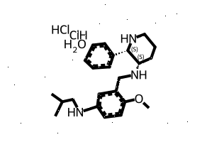 COc1ccc(NCC(C)C)cc1CN[C@H]1CCCN[C@H]1c1ccccc1.Cl.Cl.O